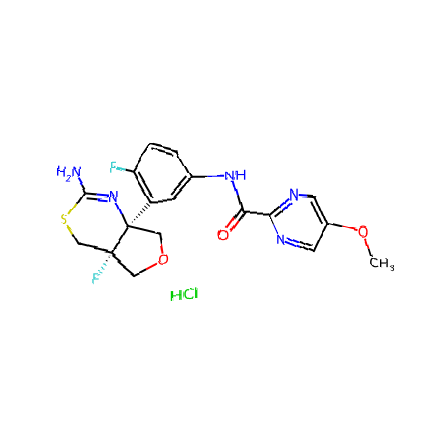 COc1cnc(C(=O)Nc2ccc(F)c([C@]34COC[C@@]3(F)CSC(N)=N4)c2)nc1.Cl